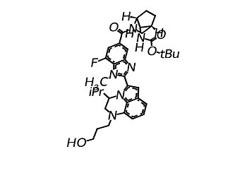 CC(C)C1CN(CCCO)c2cccc3cc(-c4nc5cc(C(=O)N6C[C@H]7CC[C@@H]6[C@@H]7NC(=O)OC(C)(C)C)cc(F)c5n4C)n1c23